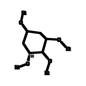 CCOC1CC(OCC)C(OCC)[C@H](OCC)C1